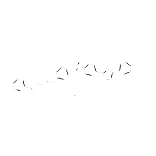 Cl.Cl.O=S(=O)(Nc1ccc(CCNCC(O)c2cccnc2)cc1)c1ccc(-c2nc(-c3ccc(C(F)(F)F)cc3)cs2)cc1